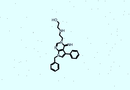 N=c1c2c(-c3ccccc3)cn(Cc3ccccc3)c2ncn1CCNCCO